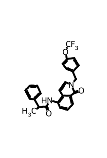 CC(C(=O)Nc1cccc2c(=O)n(Cc3ccc(OC(F)(F)F)cc3)ccc12)c1ccccc1